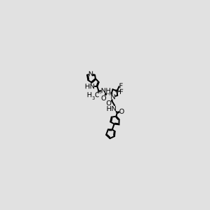 C[C@@H](NC(=O)[C@@H]1C[C@](F)(CF)CN1C(=O)CNC(=O)c1ccc(-c2ccccc2)cc1)c1cc2cnccc2[nH]1